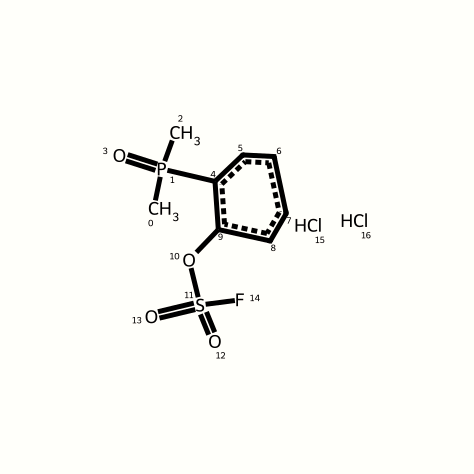 CP(C)(=O)c1ccccc1OS(=O)(=O)F.Cl.Cl